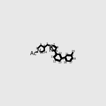 CC(=O)N1CCC(Cn2ccc(-c3cccc(-c4cccc(C)c4)c3)n2)CC1